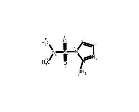 Bc1nccn1S(=O)(=O)N(C)C